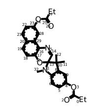 CCC(=O)Oc1ccc2c(c1)C(C)(C)C1(C=Nc3c(ccc4ccc(OC(=O)CC)cc34)O1)N2C